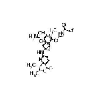 C[C@@H]1OC(=O)c2ccc(Nc3cc4c(C(C)(C)N)cnc(O[C@@H]5CN(C(=O)C6CC6)[C@H]5C)c4cn3)nc2[C@H]1C